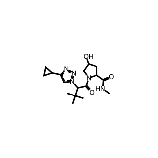 CNC(=O)C1CC(O)CN1C(=O)C(n1cc(C2CC2)nn1)C(C)(C)C